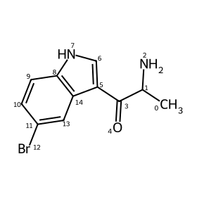 CC(N)C(=O)c1c[nH]c2ccc(Br)cc12